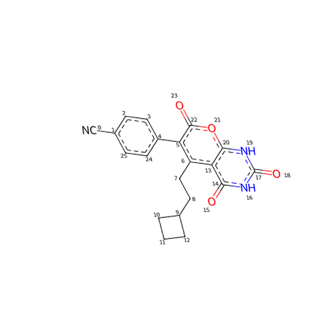 N#Cc1ccc(-c2c(CCC3CCC3)c3c(=O)[nH]c(=O)[nH]c3oc2=O)cc1